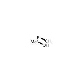 CCC.CNO